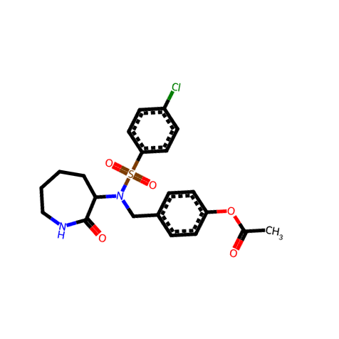 CC(=O)Oc1ccc(CN(C2CCCCNC2=O)S(=O)(=O)c2ccc(Cl)cc2)cc1